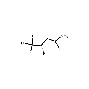 [CH2]CC(F)(F)[C@@H](F)CC(C)F